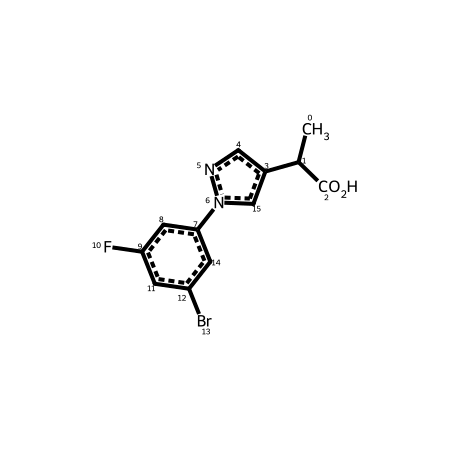 CC(C(=O)O)c1cnn(-c2cc(F)cc(Br)c2)c1